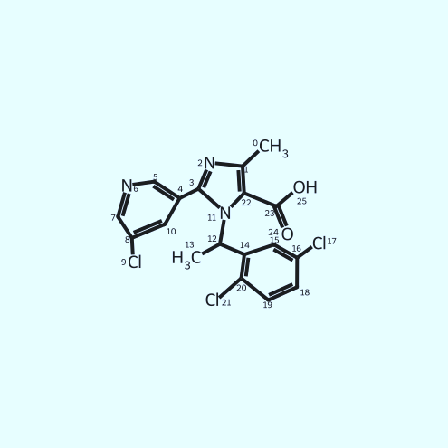 Cc1nc(-c2cncc(Cl)c2)n(C(C)c2cc(Cl)ccc2Cl)c1C(=O)O